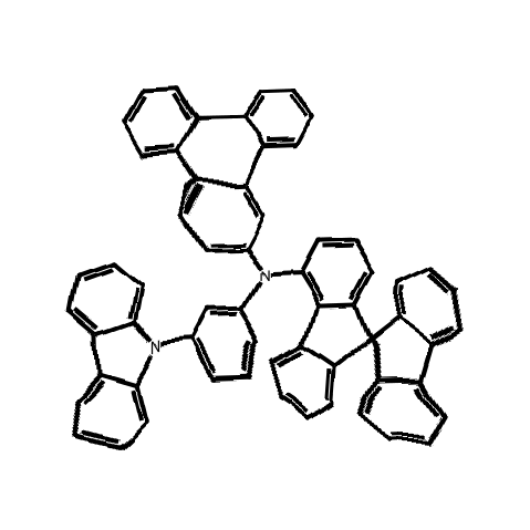 c1cc(N(c2ccc3c4ccccc4c4ccccc4c3c2)c2cccc3c2-c2ccccc2C32c3ccccc3-c3ccccc32)cc(-n2c3ccccc3c3ccccc32)c1